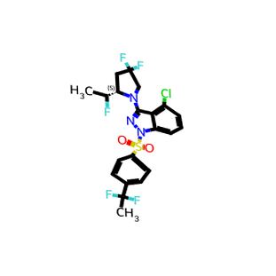 CC(F)[C@@H]1CC(F)(F)CN1c1nn(S(=O)(=O)c2ccc(C(C)(F)F)cc2)c2cccc(Cl)c12